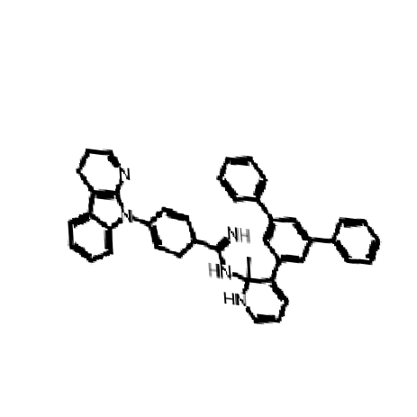 CC1(NC(=N)C2C=CC(n3c4c(c5ccccc53)CCC=N4)=CC2)NC=CC=C1c1cc(-c2ccccc2)cc(-c2ccccc2)c1